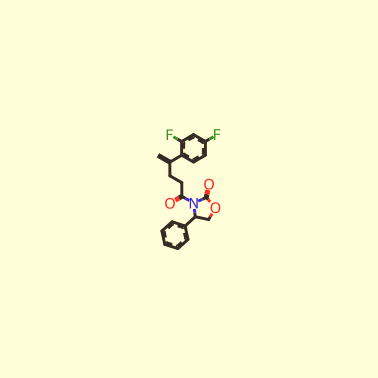 C=C(CCC(=O)N1C(=O)OCC1c1ccccc1)c1ccc(F)cc1F